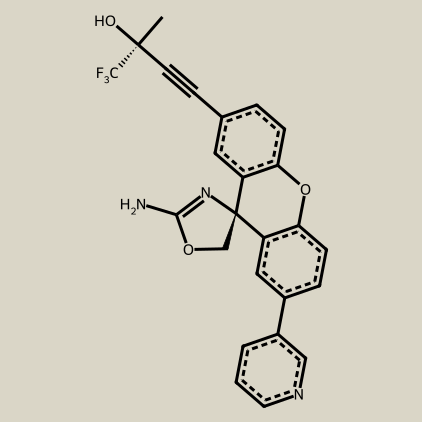 C[C@](O)(C#Cc1ccc2c(c1)[C@]1(COC(N)=N1)c1cc(-c3cccnc3)ccc1O2)C(F)(F)F